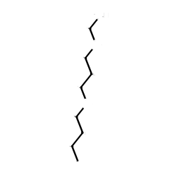 CCCCOCCCOCS